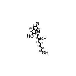 O=C1C[C@@H]2C[C@@H](O)[C@H](CCC(O)CCCCCO)[C@@H]2C1